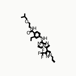 C=CCn1cc(-c2cnc3c(Nc4ccc(C(=O)NCCOCC(C)C)c(CC)c4)nccn23)c(C(F)(F)F)n1